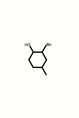 CCC(C)C1CC(C)CCC1O